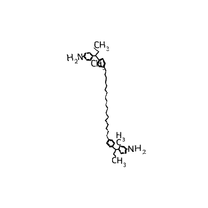 CCCC(c1ccc(CCCCCCCCCCCCCCCCCCc2ccc(C(CCC)c3ccc(N)cc3C)cc2)cc1)c1ccc(N)cc1C